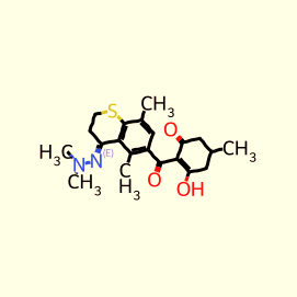 Cc1cc(C(=O)C2=C(O)CC(C)CC2=O)c(C)c2c1SCC/C2=N\N(C)C